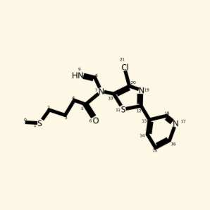 CSCCCC(=O)N(C=N)c1sc(-c2cccnc2)nc1Cl